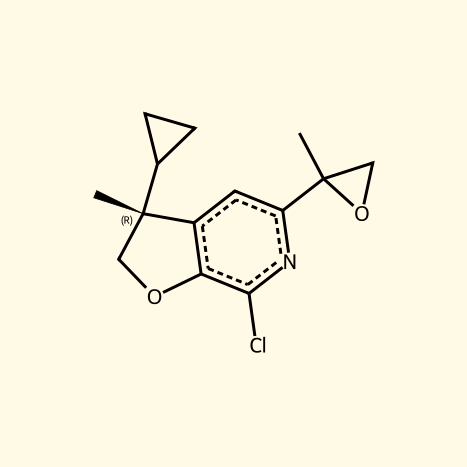 CC1(c2cc3c(c(Cl)n2)OC[C@]3(C)C2CC2)CO1